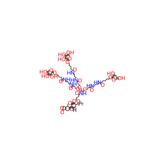 CC(C)C1C[C@@H]2O[C@@]23[C@@]2(C)CCC4=C(COC4=O)C2CO[C@]3(C)[C@@H]1OC(=O)CCC(=O)NC(COCCC(=O)NCCCNC(=O)CCCCO[C@@H]1OC[C@@H](O)[C@H](O)[C@H]1O)(COCCC(=O)NCCCNC(=O)CCCCO[C@@H]1OC[C@@H](O)[C@H](O)[C@H]1O)COCCC(=O)NCCCNC(=O)CCCCO[C@@H]1OC[C@@H](O)C[C@H]1O